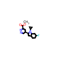 COC(=O)c1cc(-c2cc3ccc(F)cc3n2C2CC2)cnn1